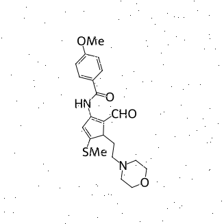 COc1ccc(C(=O)NC2=C(C=O)C(CCN3CCOCC3)C(SC)=C2)cc1